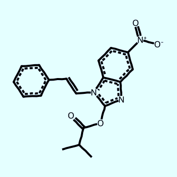 CC(C)C(=O)Oc1nc2cc([N+](=O)[O-])ccc2n1C=Cc1ccccc1